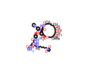 CO[C@H]1/C=C/O[C@@]2(C)Oc3cc(O)c4c(=O)c(c5oc6cc(N7CCCCC7)cc(OCc7ccc(NC(=O)[C@H](CCCNC(N)=O)NC(=O)[C@@H](NC(=O)CCCCCN8C(=O)C=CC8=O)C(C)C)cc7)c6nc-5c4c3C2=O)NC(=O)/C(C)=C\C=C\[C@H](C)[C@H](O)[C@@H](C)[C@@H](O)[C@@H](C)[C@H](O)[C@@H]1C